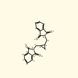 O=C1c2ccccc2C(=O)N1CC1CC1CN1C(=O)c2ccccc2C1=O